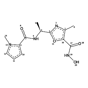 Cc1nc([C@H](C)NC(=O)c2cccn2C)oc1C(=O)NO